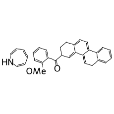 C1=CC=CNC=C1.COc1ccccc1C(=O)C1C=c2c(ccc3c2=CCc2ccccc2-3)CC1